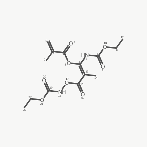 C=C(C)C(=O)OC(NC(=O)OCC)=C(C)C(=O)ONC(=O)OCC